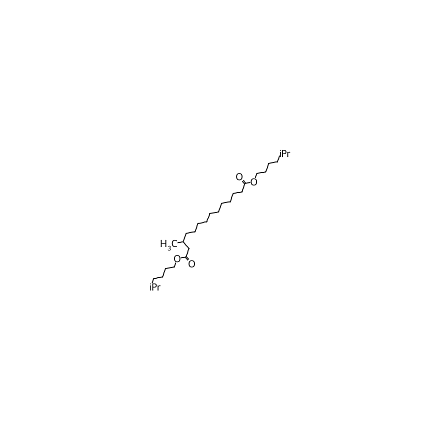 CC(C)CCCCOC(=O)CCCCCCCCCCC(C)CC(=O)OCCCCC(C)C